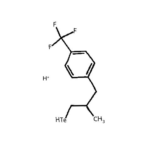 CC(C[TeH])Cc1ccc(C(F)(F)F)cc1.[H+]